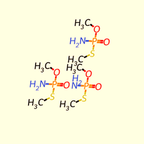 COP(N)(=O)SC.COP(N)(=O)SC.COP(N)(=O)SC